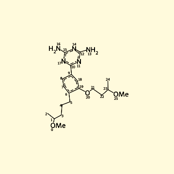 COC(C)CCCc1ccc(-c2nc(N)nc(N)n2)cc1OCCC(C)OC